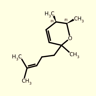 CC(C)=CCCC1(C)C=C[C@@H](C)[C@@H](C)O1